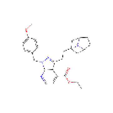 CCOC(=O)C1=CC=NC2C1C(CCC1CC3CCC(C1)N3C)=NN2Cc1ccc(OC)cc1